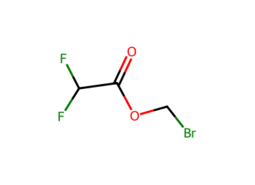 O=C(OCBr)C(F)F